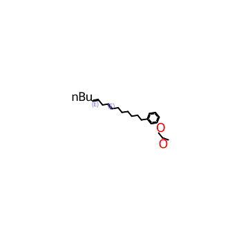 CCCC/C=C/C/C=C/CCCCCCc1cccc(OCC2CO2)c1